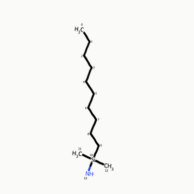 CCCCCCCCCC[Si](C)(C)[NH]